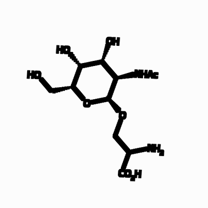 CC(=O)N[C@H]1[C@@H](OCC(N)C(=O)O)O[C@H](CO)[C@H](O)[C@@H]1O